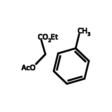 CCOC(=O)COC(C)=O.Cc1ccccc1